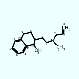 C=CCN(C)CCC1CCc2ccccc2C1O